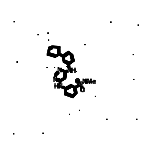 CNS(=O)(=O)c1cccc(Nc2cc(Nc3cccc(-c4ccccc4)c3)ncn2)c1